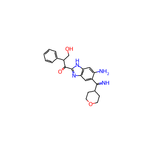 N=C(c1cc2nc(C(=O)C(CO)c3ccccc3)[nH]c2cc1N)C1CCOCC1